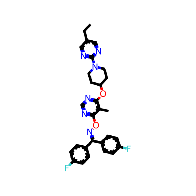 CCc1cnc(N2CCC(Oc3ncnc(ON=C(c4ccc(F)cc4)c4ccc(F)cc4)c3C)CC2)nc1